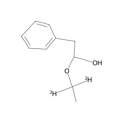 [2H]C([2H])(C)OC(O)Cc1ccccc1